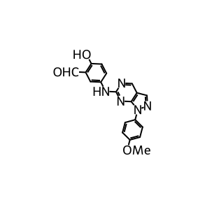 COc1ccc(-n2ncc3cnc(Nc4ccc(O)c(C=O)c4)nc32)cc1